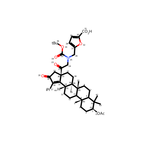 CC(=O)O[C@H]1CC[C@@]2(C)C(CC[C@]3(C)C2CC[C@@H]2C4=C(C(C)C)C(=O)C[C@]4(C(=O)CN(Cc4ccc(C(=O)O)o4)C(=O)OC(C)(C)C)CC[C@]23C)C1(C)C